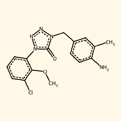 COc1c(Cl)cccc1-n1nnn(Cc2ccc(N)c(C)c2)c1=O